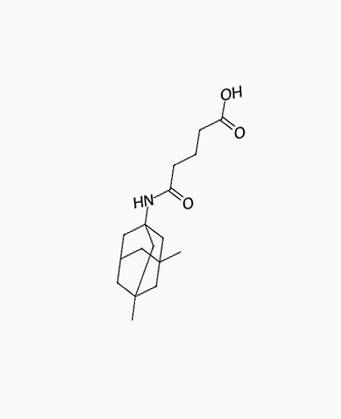 CC12CC3CC(C)(C1)CC(NC(=O)CCCC(=O)O)(C3)C2